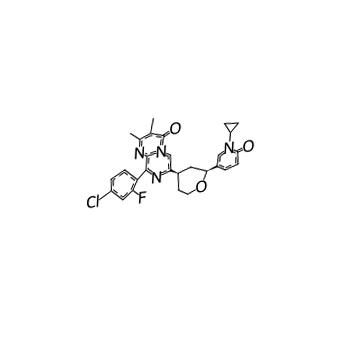 Cc1nc2c(-c3ccc(Cl)cc3F)nc([C@@H]3CCO[C@H](c4ccc(=O)n(C5CC5)c4)C3)cn2c(=O)c1C